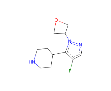 Fc1cnn(C2COC2)c1C1CCNCC1